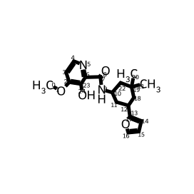 COc1ccnc(C(=O)NC2CC(c3ccco3)CC(C)(C)C2)c1O